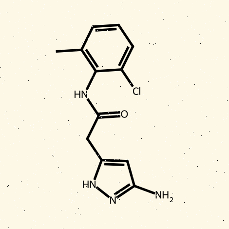 Cc1cccc(Cl)c1NC(=O)Cc1cc(N)n[nH]1